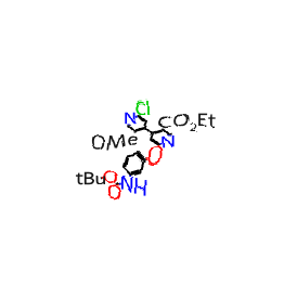 CCOC(=O)c1cnc(Oc2cccc(NC(=O)OC(C)(C)C)c2)cc1-c1cc(Cl)ncc1OC